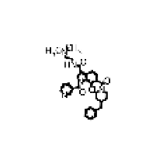 CN(C)CCNC(=O)c1cn(C(=O)c2cccnc2)c2c(Cl)c(C(=O)N3CCC(Cc4ccccc4)CC3)ccc12